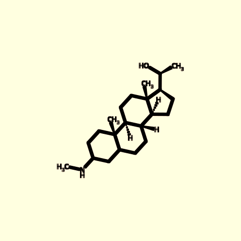 CNC1CC[C@@]2(C)C(CC[C@H]3[C@@H]4CC[C@H]([C@H](C)O)[C@@]4(C)CC[C@@H]32)C1